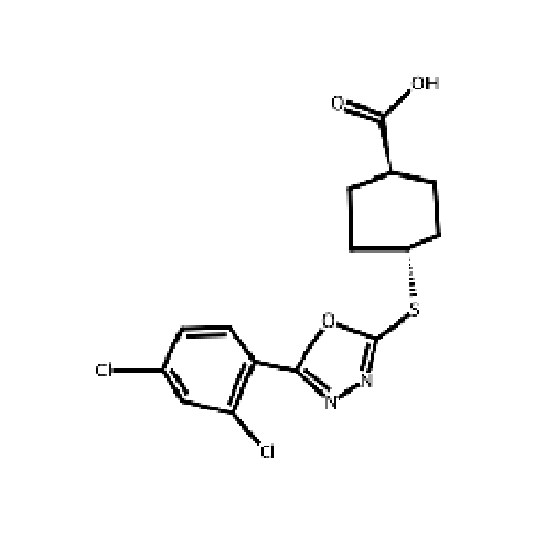 O=C(O)[C@H]1CC[C@H](Sc2nnc(-c3ccc(Cl)cc3Cl)o2)CC1